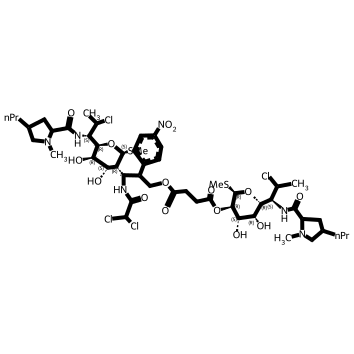 CCCC1CC(C(=O)N[C@H](C(C)Cl)[C@H]2O[C@@H](SC)[C@H]([C](NC(=O)C(Cl)Cl)C(COC(=O)CCC(=O)O[C@@H]3[C@@H](O)[C@@H](O)[C@@H]([C@H](NC(=O)C4CC(CCC)CN4C)C(C)Cl)O[C@@H]3SC)c3ccc([N+](=O)[O-])cc3)[C@H](O)[C@H]2O)N(C)C1